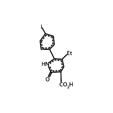 CCc1cc(C(=O)O)c(=O)[nH]c1-c1ccc(I)cc1